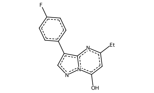 CCc1cc(O)n2ncc(-c3ccc(F)cc3)c2n1